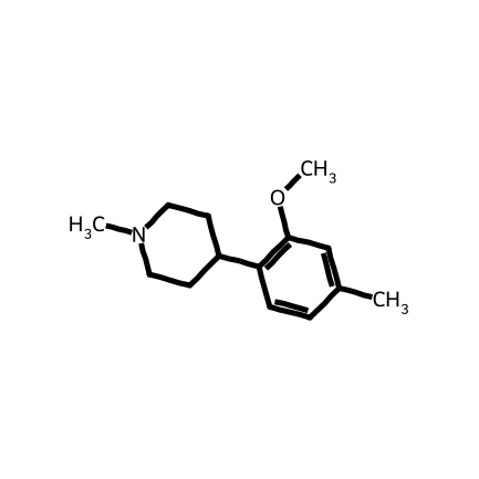 COc1cc(C)ccc1C1CCN(C)CC1